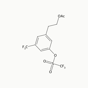 CC(=O)OCCc1cc(OS(=O)(=O)C(F)(F)F)cc(C(F)(F)F)c1